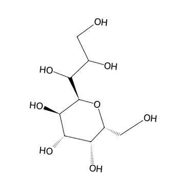 OCC(O)C(O)[C@H]1O[C@H](CO)[C@H](O)[C@H](O)[C@H]1O